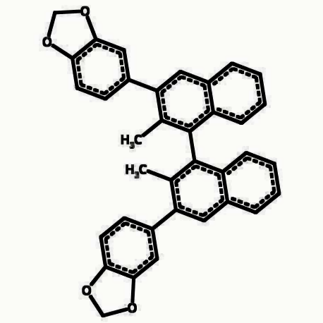 Cc1c(-c2ccc3c(c2)OCO3)cc2ccccc2c1-c1c(C)c(-c2ccc3c(c2)OCO3)cc2ccccc12